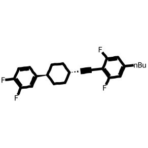 CCCCc1cc(F)c(C#C[C@H]2CC[C@H](c3ccc(F)c(F)c3)CC2)c(F)c1